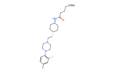 COCCCC(=O)N[C@H]1CC[C@H](CCN2CCN(c3ccc(C)cc3F)CC2)CC1